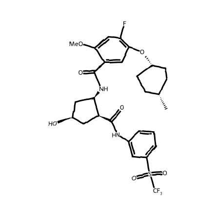 COc1cc(F)c(O[C@H]2CC[C@@H](C)CC2)cc1C(=O)N[C@@H]1C[C@H](O)C[C@@H]1C(=O)Nc1cccc(S(=O)(=O)C(F)(F)F)c1